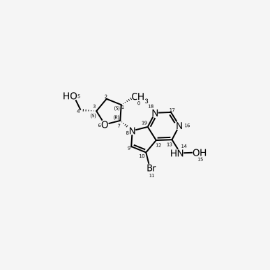 C[C@H]1C[C@@H](CO)O[C@H]1n1cc(Br)c2c(NO)ncnc21